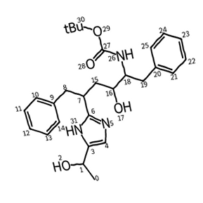 CC(O)c1cnc(C(Cc2ccccc2)CC(O)C(Cc2ccccc2)NC(=O)OC(C)(C)C)[nH]1